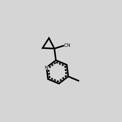 Cc1ccnc(C2(C#N)CC2)c1